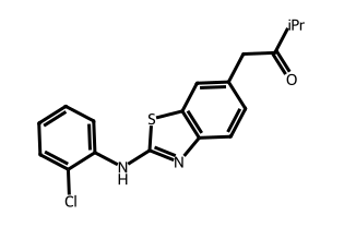 CC(C)C(=O)Cc1ccc2nc(Nc3ccccc3Cl)sc2c1